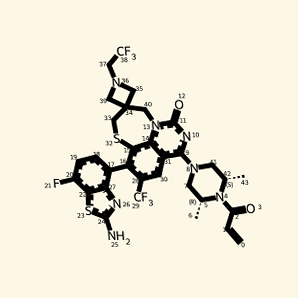 C=CC(=O)N1[C@H](C)CN(c2nc(=O)n3c4c(c(-c5ccc(F)c6sc(N)nc56)c(C(F)(F)F)cc24)SCC2(CN(CC(F)(F)F)C2)C3)C[C@@H]1C